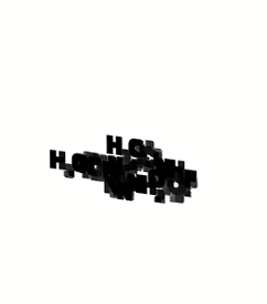 Cc1ccc(NC(=O)c2cccc(F)c2)cc1C#Cc1nn(C2CCN(C)CC2)c2ncnc(N)c12